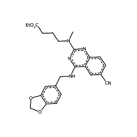 CCOC(=O)CCCN(C)c1nc(NCc2ccc3c(c2)OCO3)c2cc(C#N)ccc2n1